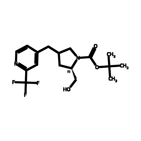 CC(C)(C)OC(=O)N1CC(Cc2ccnc(C(F)(F)F)c2)C[C@H]1CO